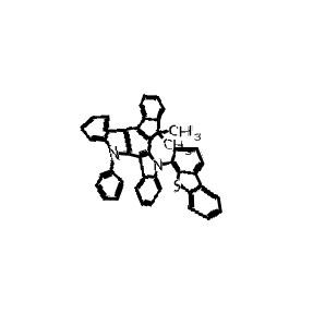 CC1(C)c2ccccc2-c2c1c1c(c3ccccc3n1-c1cccc3c1sc1ccccc13)c1c2c2ccccc2n1-c1ccccc1